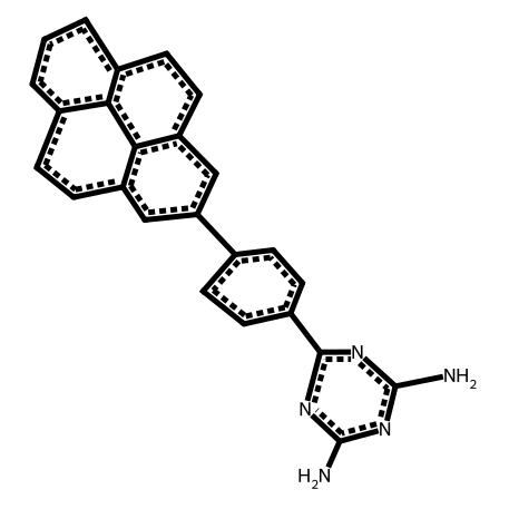 Nc1nc(N)nc(-c2ccc(-c3cc4ccc5cccc6ccc(c3)c4c56)cc2)n1